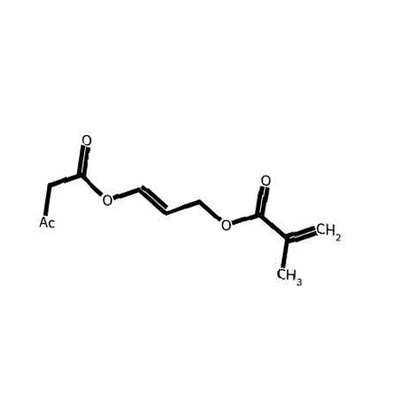 C=C(C)C(=O)OCC=COC(=O)CC(C)=O